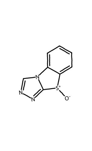 [O-][s+]1c2ccccc2n2cnnc21